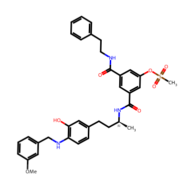 COc1cccc(CNc2ccc(CC[C@H](C)NC(=O)c3cc(OS(C)(=O)=O)cc(C(=O)NCCc4ccccc4)c3)cc2O)c1